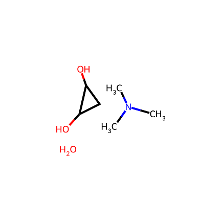 CN(C)C.O.OC1CC1O